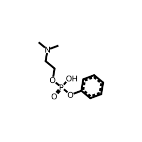 CN(C)CCOP(=O)(O)Oc1ccccc1